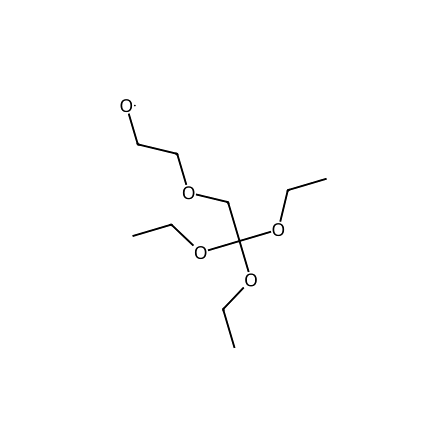 CCOC(COCC[O])(OCC)OCC